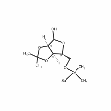 CC1(C)O[C@@H]2[C@H](CO[Si](C)(C)C(C)(C)C)OC(O)[C@@H]2O1